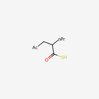 CCCC(CC(C)=O)C(=O)S